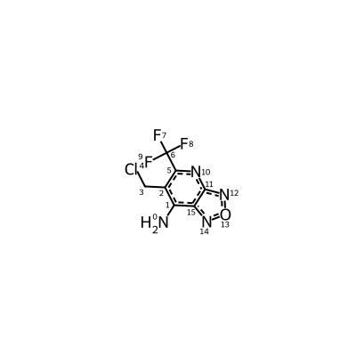 Nc1c(CCl)c(C(F)(F)F)nc2nonc12